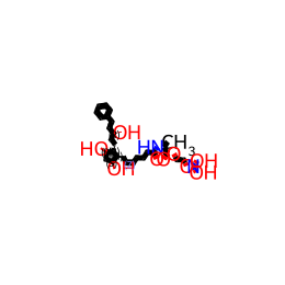 CC(NC(=O)CCC/C=C\C[C@@H]1[C@@H](CC[C@@H](O)CCc2ccccc2)[C@H](O)C[C@@H]1O)C(=O)OCCON(O)O